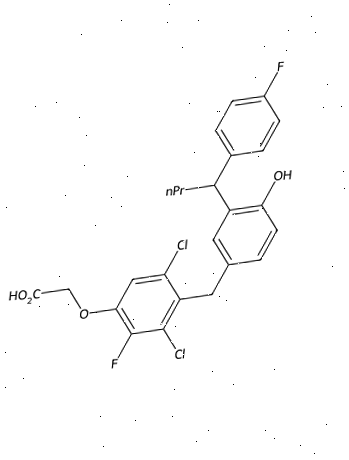 CCCC(c1ccc(F)cc1)c1cc(Cc2c(Cl)cc(OCC(=O)O)c(F)c2Cl)ccc1O